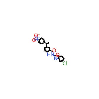 C=C(c1ccc([N+](=O)[O-])cc1)c1cccc(C(=O)Nc2nc3cc(Cl)ccc3o2)c1